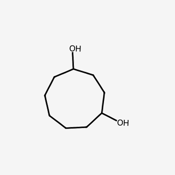 OC1CCCCCC(O)CC1